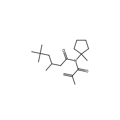 C=C(C)C(=O)N(C(=O)CC(C)CC(C)(C)C)C1(C)CCCC1